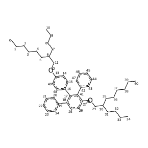 CCCCCCC(CCCC)COc1ccc(-c2c(-c3ccccc3)ccc(OCC(CCCC)CCCCCC)c2-c2ccccc2)cc1